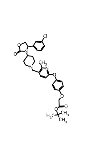 Cc1nc(Oc2ccc(OCC(=O)OC(C)(C)C)cc2)ccc1CN1CCC(N2C(=O)OC[C@H]2c2cccc(Cl)c2)CC1